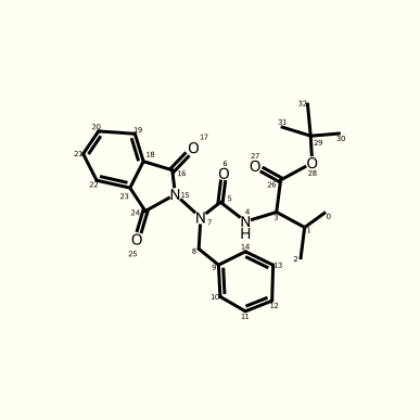 CC(C)C(NC(=O)N(Cc1ccccc1)N1C(=O)c2ccccc2C1=O)C(=O)OC(C)(C)C